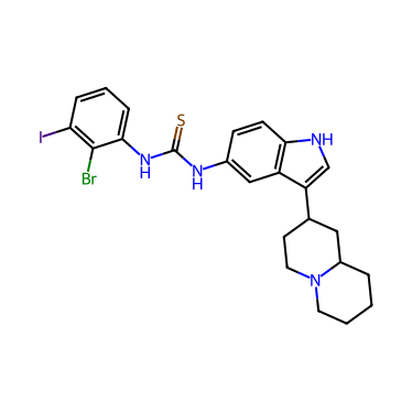 S=C(Nc1ccc2[nH]cc(C3CCN4CCCCC4C3)c2c1)Nc1cccc(I)c1Br